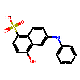 O=S(=O)(O)c1ccc(O)c2cc(Nc3ccccc3)ccc12